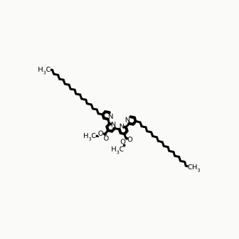 CCCCCCCCCCCCCCCCCCCc1ccnc(-c2cc(C(=O)OCC)cc(-c3cc(C(=O)OCC)cc(-c4cc(CCCCCCCCCCCCCCCCCCC)ccn4)n3)n2)c1